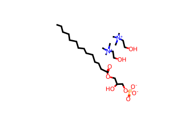 CCCCCCCCCCCCCC(=O)OCC(O)COP(=O)([O-])[O-].C[N+](C)(C)CCO.C[N+](C)(C)CCO